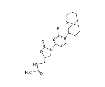 CC(=O)NCC1CN(c2ccc(N3CCCC4(C3)SCCCS4)c(F)c2)C(=O)O1